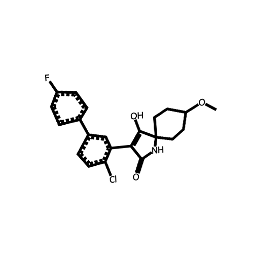 COC1CCC2(CC1)NC(=O)C(c1cc(-c3ccc(F)cc3)ccc1Cl)=C2O